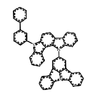 c1ccc(-c2cccc(-n3c4ccccc4c4c3ccc3c5ccccc5n(-c5cc6c7ccccc7n7c8ccccc8c(c5)c67)c34)c2)cc1